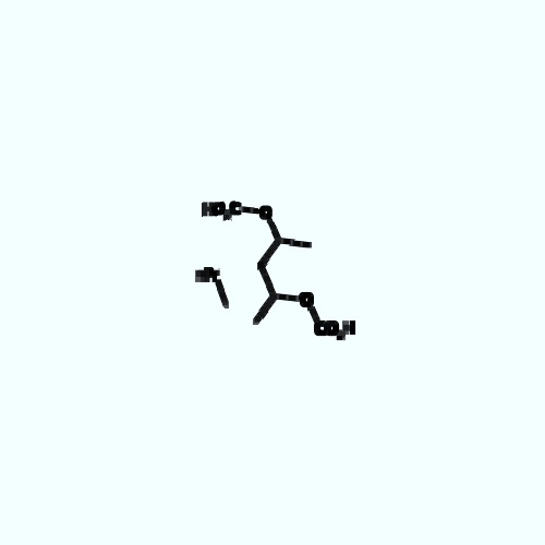 CC(CC(C)OC(=O)O)OC(=O)O.CCCC